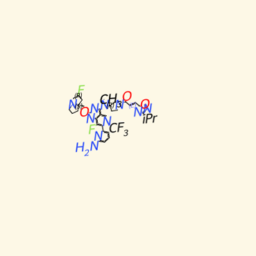 CC(C)c1noc(/C=C/C(=O)N2CC[C@@H](N(C)c3nc(OC[C@@]45CCCN4C[C@H](F)C5)nc4c(F)c(-c5nc(N)ccc5C(F)(F)F)ncc34)C2)n1